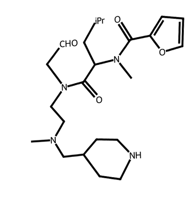 CC(C)CC(C(=O)N(CC=O)CCN(C)CC1CCNCC1)N(C)C(=O)c1ccco1